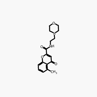 Cc1cccc2oc(C(=O)NCCN3CCOCC3)cc(=O)c12